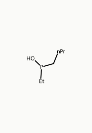 CCCCP(O)CC